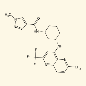 Cc1ccc2nc(C(F)(F)F)cc(N[C@H]3CCC[C@@H](NC(=O)c4cnn(C)c4)C3)c2n1